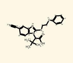 CC(C)(C)C(C(=O)O)n1c(SCCOc2ccccc2)nc2cc(C#N)ccc21